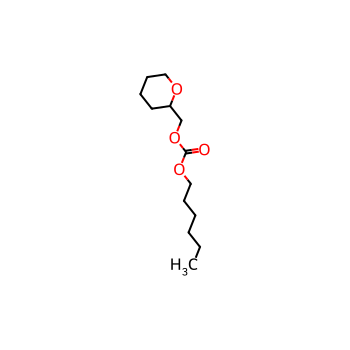 CCCCCCOC(=O)OCC1CCCCO1